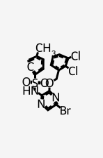 Cc1ccc(S(=O)(=O)Nc2ncc(Br)nc2OCc2cccc(Cl)c2Cl)cc1